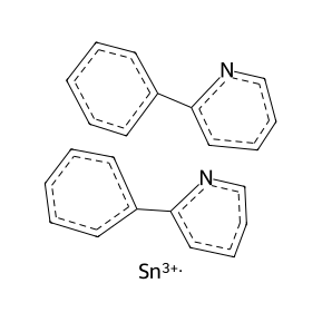 [Sn+3].c1ccc(-c2ccccn2)cc1.c1ccc(-c2ccccn2)cc1